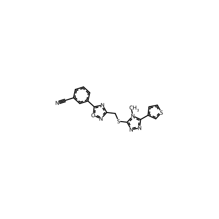 Cn1c(SCc2noc(-c3cccc(C#N)c3)n2)nnc1-c1ccsc1